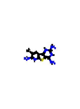 N#Cc1cc2c(nc1N)sc1c(N)nc(N)nc12